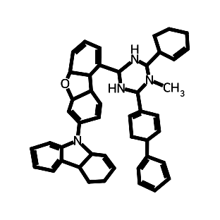 CN1C(C2=CCC(c3ccccc3)C=C2)NC(C2=CC=CC3OC4C=C(N5c6ccccc6C6CCC=CC65)C=CC4C23)NC1C1C=CCCC1